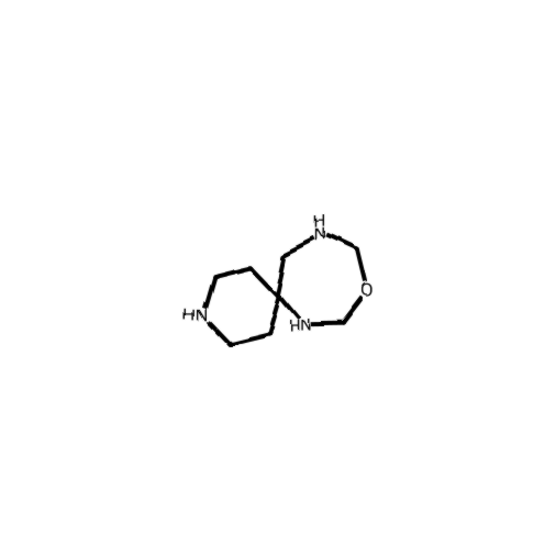 C1CC2(CCN1)CNCOCN2